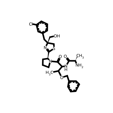 CC(OCc1ccccc1)C(NC(=O)[C@H](C)N)C(=O)N1CCC[C@H]1C1=N[C@](CO)(Cc2cccc(Cl)c2)CS1